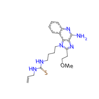 C=CCNC(=S)NCCCCn1c(CCOC)nc2c(N)nc3ccccc3c21